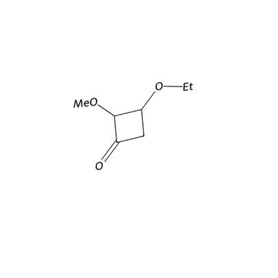 CCOC1CC(=O)C1OC